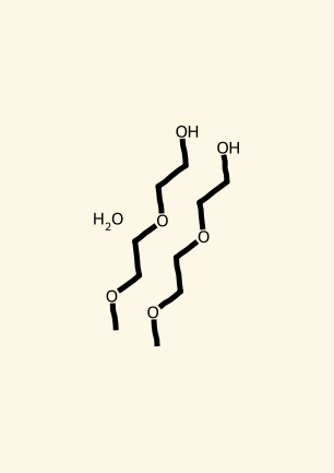 COCCOCCO.COCCOCCO.O